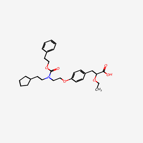 CCOC(Cc1ccc(OCCN(CCC2CCCC2)C(=O)OCCc2ccccc2)cc1)C(=O)O